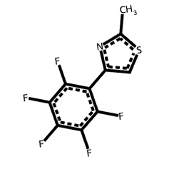 Cc1nc(-c2c(F)c(F)c(F)c(F)c2F)cs1